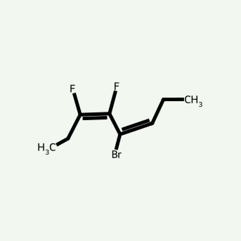 CC/C=C(Br)\C(F)=C(\F)CC